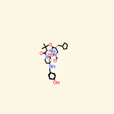 CC(C)(C)[C@H](NC(=O)[C@H](CC1CCCC1)CN(O)C=O)C(=O)N1CCC(NCc2ccc(O)cc2)CC1